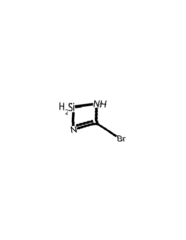 BrC1=N[SiH2]N1